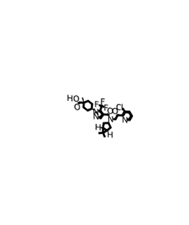 CC1(C)[C@@H]2C[C@H](N(CC(=O)c3ncccc3Cl)C(=O)c3cnn([C@H]4CC[C@](C)(C(=O)O)CC4)c3C(F)(F)F)C[C@@H]21